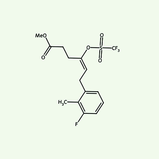 COC(=O)CC/C(=C\Cc1cccc(F)c1C)OS(=O)(=O)C(F)(F)F